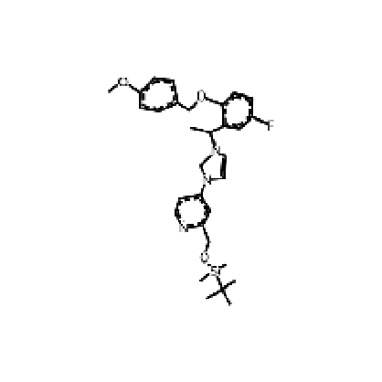 COc1ccc(COc2ccc(F)cc2C(C)N2C=CN(c3ccnc(CO[Si](C)(C)C(C)(C)C)c3)C2)cc1